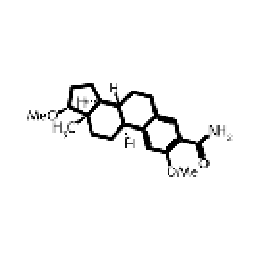 COc1cc2c(cc1C(N)=O)CC[C@@H]1[C@@H]2CC[C@]2(C)[C@@H](OC)CC[C@@H]12